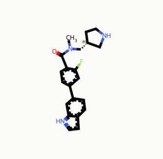 CN(C[C@@H]1CCNC1)C(=O)c1ccc(-c2ccc3cc[nH]c3c2)cc1F